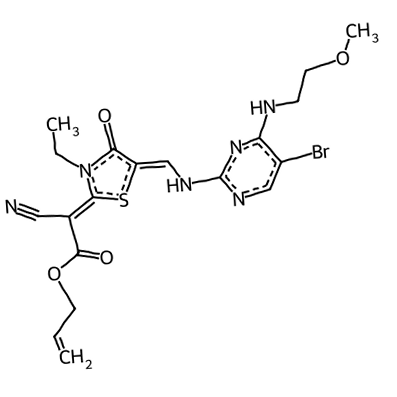 C=CCOC(=O)C(C#N)=c1sc(=CNc2ncc(Br)c(NCCOC)n2)c(=O)n1CC